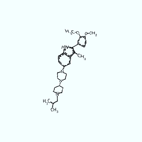 COc1ccc(-c2[nH]c3ccc(N4CCN(C5CCN(CC(C)C)CC5)CC4)cc3c2C)cc1OC